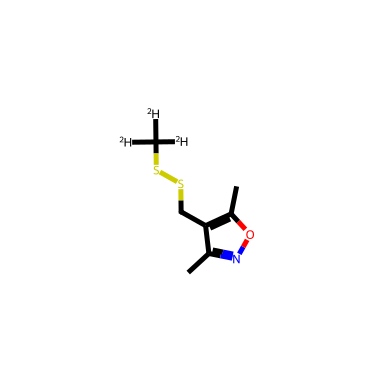 [2H]C([2H])([2H])SSCc1c(C)noc1C